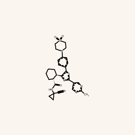 Cc1ncc(-c2nc([C@@H]3CCCC[C@H]3C(=O)NC3(C#N)CC3)c(-c3ccc(N4CCS(=O)(=O)CC4)cc3)s2)cn1